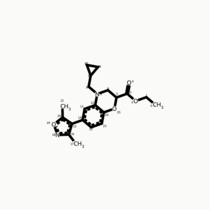 CCOC(=O)C1CN(CC2CC2)c2cc(-c3c(C)noc3C)ccc2O1